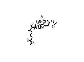 COC(=O)CCCC(C)[C@H]1CC[C@H]2[C@@H]3C[C@H]4OC[C@@]5(CC[C@H](OC(C)=O)C[C@]45Br)[C@H]3CC[C@]12C